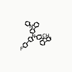 CC1(c2ccc(N(c3ccc(-c4ccc(F)cc4)cc3)c3ccc4c(c3)c3ccccc3n4-c3ccccc3)cc2)c2ccccc2-c2ccccc21